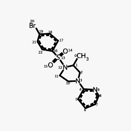 CC1CN(c2ccccn2)CCN1S(=O)(=O)c1ccc(Br)cc1